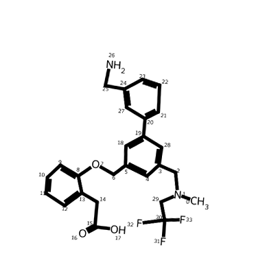 CN(Cc1cc(COc2ccccc2CC(=O)O)cc(-c2cccc(CN)c2)c1)CC(F)(F)F